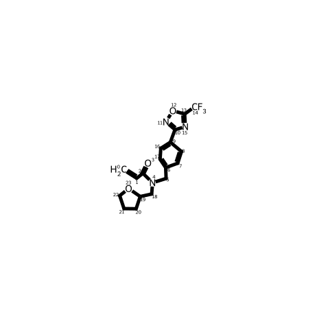 C=CC(=O)N(Cc1ccc(-c2noc(C(F)(F)F)n2)cc1)CC1CCCO1